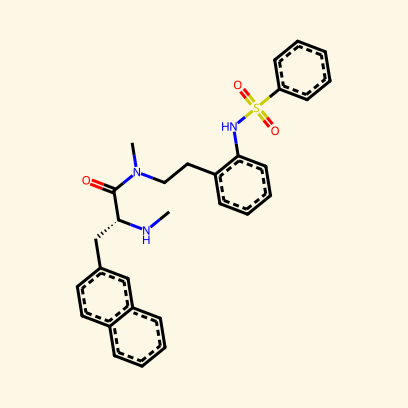 CN[C@H](Cc1ccc2ccccc2c1)C(=O)N(C)CCc1ccccc1NS(=O)(=O)c1ccccc1